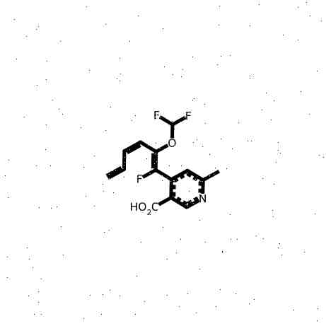 C=C/C=C\C(OC(F)F)=C(/F)c1cc(C)ncc1C(=O)O